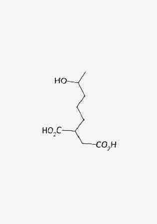 CC(O)CCCC(CC(=O)O)C(=O)O